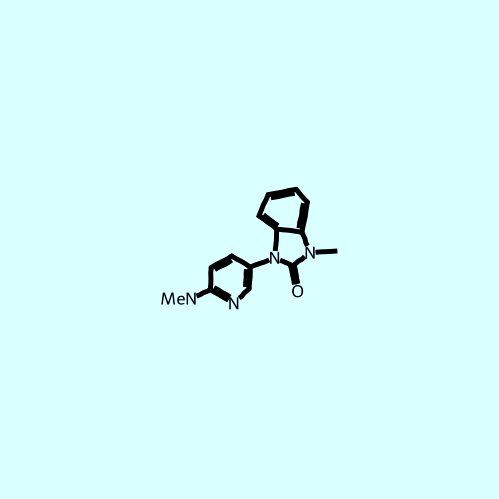 CNc1ccc(-n2c(=O)n(C)c3ccccc32)cn1